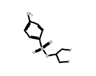 Cc1ccc(S(=O)(=O)OC(CF)CF)cc1